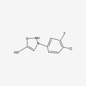 OC1=CN(c2ccc(Cl)c(F)c2)NO1